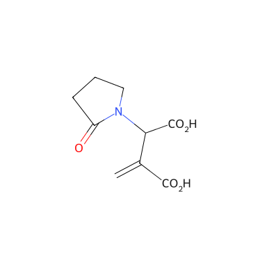 C=C(C(=O)O)C(C(=O)O)N1CCCC1=O